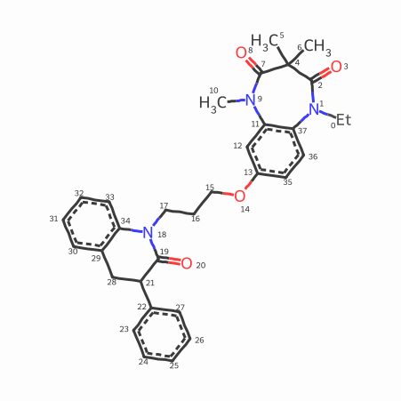 CCN1C(=O)C(C)(C)C(=O)N(C)c2cc(OCCCN3C(=O)C(c4ccccc4)Cc4ccccc43)ccc21